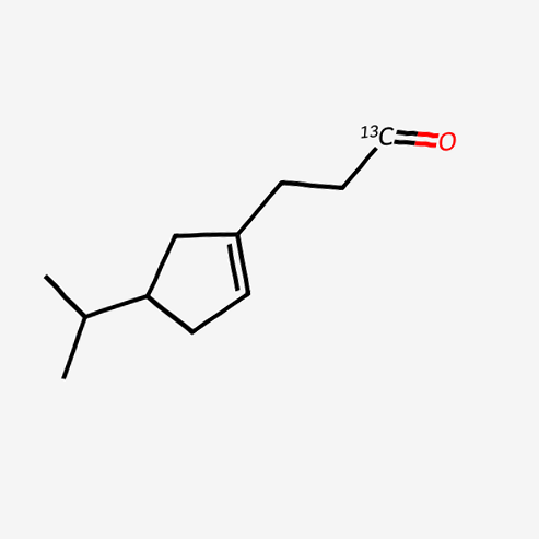 CC(C)C1CC=C(CC[13CH]=O)C1